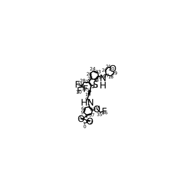 CS(=O)(=O)c1ccc(NCC#Cc2sc3c(NC4CCOCC4)cccc3c2CC(F)(F)F)c(OCF)c1